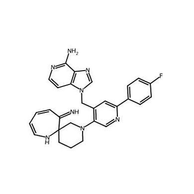 N=C1C=CC=CNC12CCCN(c1cnc(-c3ccc(F)cc3)cc1Cn1cnc3c(N)nccc31)C2